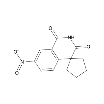 O=C1NC(=O)C2(CCCC2)c2ccc([N+](=O)[O-])cc21